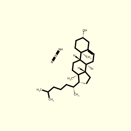 CC(C)CCC[C@@H](C)[C@H]1CC[C@H]2[C@@H]3CC=C4C[C@@H](O)CC[C@]4(C)[C@H]3CC[C@]12C.[N-]=[N+]=N